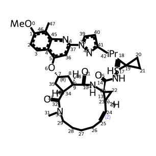 COc1ccc2c(O[C@@H]3C[C@H]4C(=O)N[C@]5(C(=O)N[SH]6#CC67CC7)C[C@H]5/C=C\CCCCN(C)C(=O)[C@@H]4C3)cc(-n3ccc(C(C)C)n3)nc2c1C